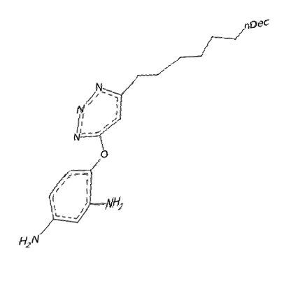 CCCCCCCCCCCCCCCCc1cc(Oc2ccc(N)cc2N)nnn1